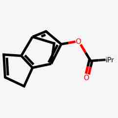 CC(C)C(=O)OC1=C2CC(=C1)C1=C2CC=C1